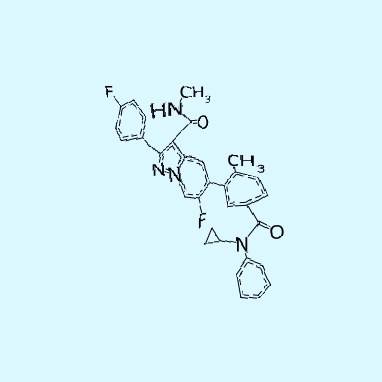 CNC(=O)c1c(-c2ccc(F)cc2)nn2cc(F)c(-c3cc(C(=O)N(c4ccccc4)C4CC4)ccc3C)cc12